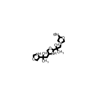 CC(C)(C)C1CN(CC(C)(C)C2NC(CC(C)(C)C3COCN3)CO2)CO1